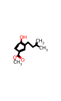 C=C(C)CCc1cc(C(=O)OC)ccc1O